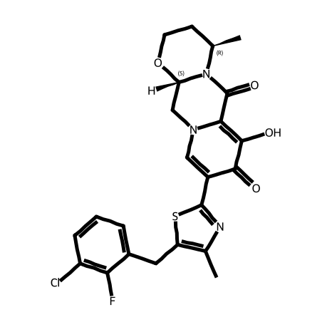 Cc1nc(-c2cn3c(c(O)c2=O)C(=O)N2[C@H](C)CCO[C@H]2C3)sc1Cc1cccc(Cl)c1F